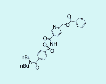 CCCCN(CCCC)C(=O)c1ccc(S(=O)(=O)NC(=O)c2ccc(COC(=O)c3ccccc3)nc2)cc1